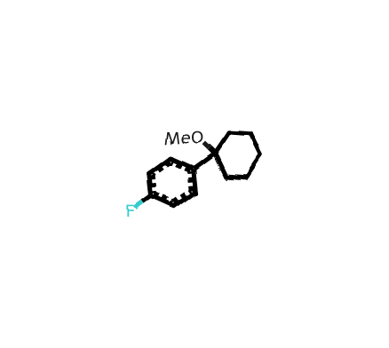 COC1(c2ccc(F)cc2)CCCCC1